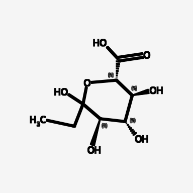 CCC1(O)O[C@H](C(=O)O)[C@@H](O)[C@H](O)[C@H]1O